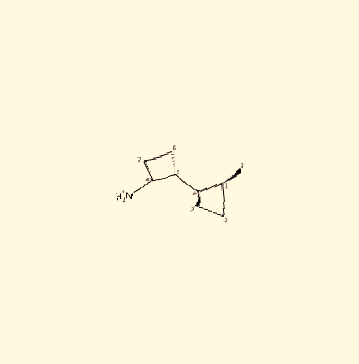 C[C@H]1CC[C@H]1[C@H]1CCC1N